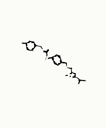 Cn1nc(C(F)F)cc1C(=O)NCc1ccc(NC(=O)OCc2ccc(Cl)cc2)cc1